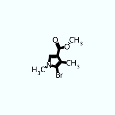 COC(=O)c1cn(C)c(Br)c1C